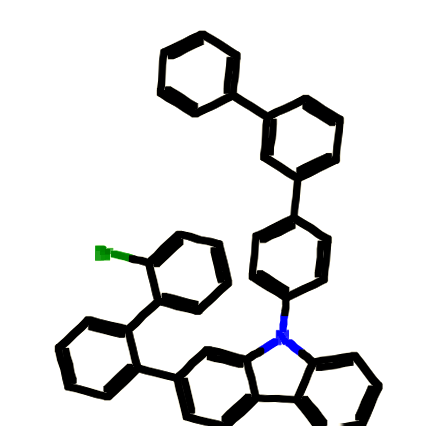 Brc1ccccc1-c1ccccc1-c1ccc2c3ccccc3n(-c3ccc(-c4cccc(-c5ccccc5)c4)cc3)c2c1